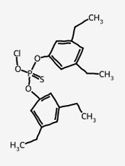 CCc1cc(CC)cc(OP(=S)(OCl)Oc2cc(CC)cc(CC)c2)c1